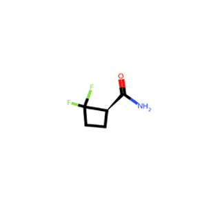 NC(=O)[C@H]1CCC1(F)F